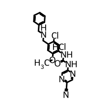 COc1cc(CNCc2ccccc2)c(Cl)cc1NC(=O)Nc1cnc(C#N)cn1.Cl